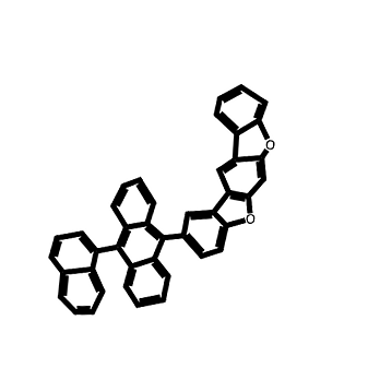 c1ccc2c(-c3c4ccccc4c(-c4ccc5oc6cc7oc8ccccc8c7cc6c5c4)c4ccccc34)cccc2c1